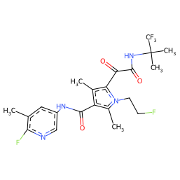 Cc1cc(NC(=O)c2c(C)c(C(=O)C(=O)NC(C)(C)C(F)(F)F)n(CCF)c2C)cnc1F